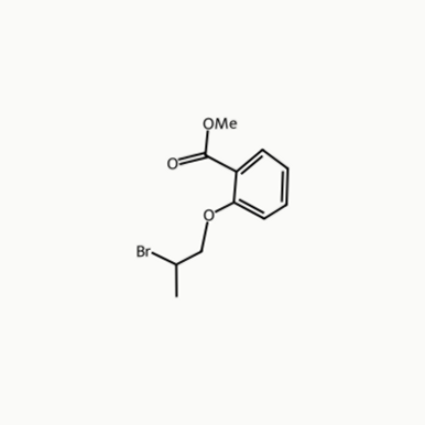 COC(=O)c1ccccc1OCC(C)Br